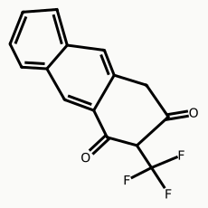 O=C1Cc2cc3ccccc3cc2C(=O)C1C(F)(F)F